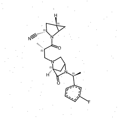 C[C@@H](CN1CC2C[C@H]1C(=O)N2[C@@H](C)c1cccc(F)c1)C(=O)N1C2C[C@H]2C[C@H]1C#N